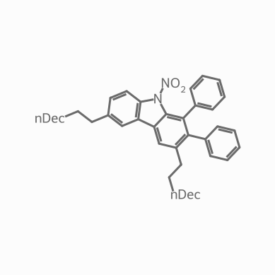 CCCCCCCCCCCCc1ccc2c(c1)c1cc(CCCCCCCCCCCC)c(-c3ccccc3)c(-c3ccccc3)c1n2[N+](=O)[O-]